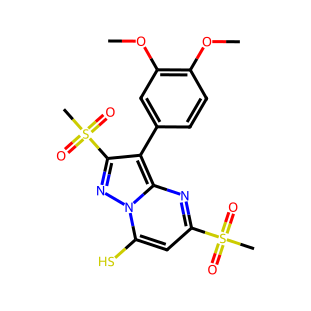 COc1ccc(-c2c(S(C)(=O)=O)nn3c(S)cc(S(C)(=O)=O)nc23)cc1OC